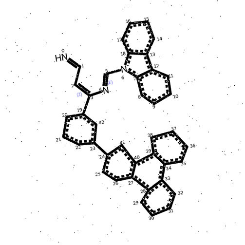 N=C/C=C(\N=C\n1c2ccccc2c2ccccc21)c1cccc(-c2ccc3c4ccccc4c4ccccc4c3c2)c1